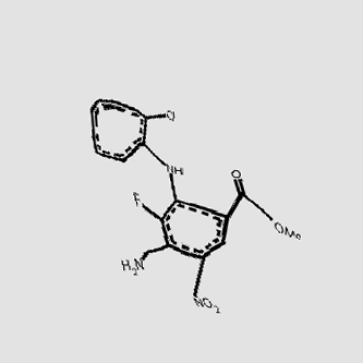 COC(=O)c1cc([N+](=O)[O-])c(N)c(F)c1Nc1ccccc1Cl